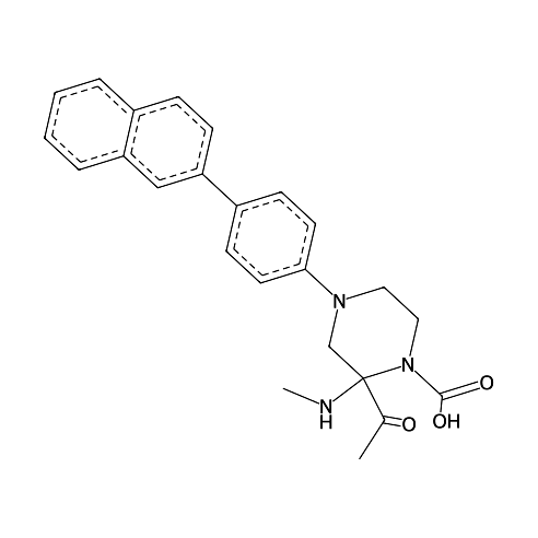 CNC1(C(C)=O)CN(c2ccc(-c3ccc4ccccc4c3)cc2)CCN1C(=O)O